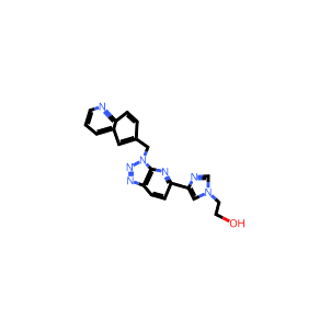 OCCn1cnc(-c2ccc3nnn(Cc4ccc5ncccc5c4)c3n2)c1